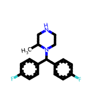 CC1CNCCN1C(c1ccc(F)cc1)c1ccc(F)cc1